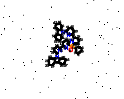 O=P(c1ccccc1)(c1cccc(-c2cccc(-n3c4ccccc4c4ccccc43)n2)n1)c1cccc(-c2cccc(-n3c4ccccc4c4ccccc43)n2)n1